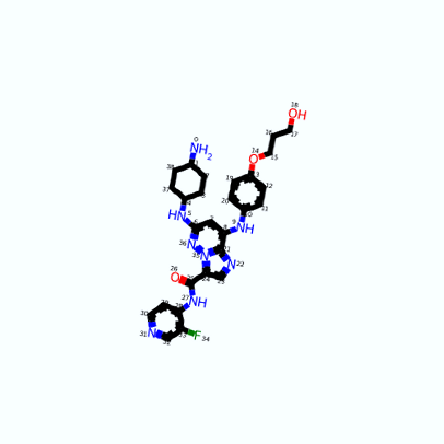 NC1CCC(Nc2cc(Nc3ccc(OCCCO)cc3)c3ncc(C(=O)Nc4ccncc4F)n3n2)CC1